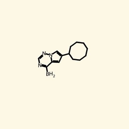 Bc1ncnn2cc(C3CCCCCCC3)cc12